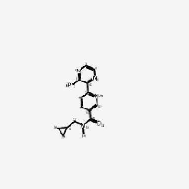 CC(C)c1nccnc1-c1ccc(C(=O)N(C)CC2CC2)cn1